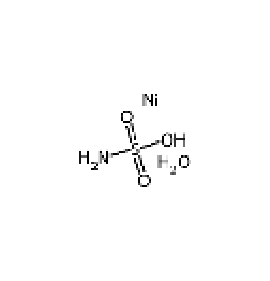 NS(=O)(=O)O.O.[Ni]